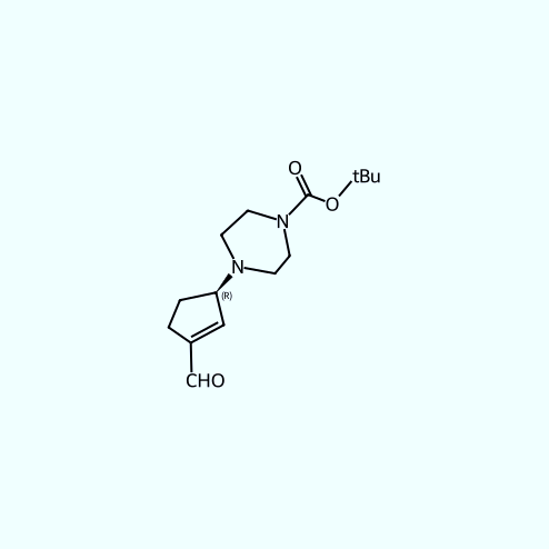 CC(C)(C)OC(=O)N1CCN([C@H]2C=C(C=O)CC2)CC1